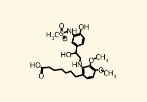 COc1ccc(CCCCCCC(=O)O)c(NCC(O)c2ccc(O)c(NS(C)(=O)=O)c2)c1OC